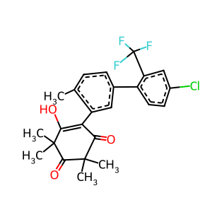 Cc1ccc(-c2ccc(Cl)cc2C(F)(F)F)cc1C1=C(O)C(C)(C)C(=O)C(C)(C)C1=O